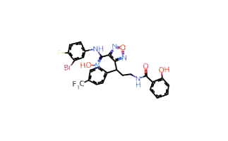 O=C(NCCC(c1ccc(C(F)(F)F)cc1)c1nonc1C(=NO)Nc1ccc(F)c(Br)c1)c1ccccc1O